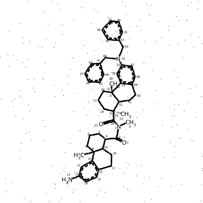 CN(C(=O)C1CCCC2(C)c3cc(N)ccc3CCC12)C(=O)[C@@]1(C)CCC[C@]2(C)c3cc(N(Cc4ccccc4)Cc4ccccc4)ccc3CCC12